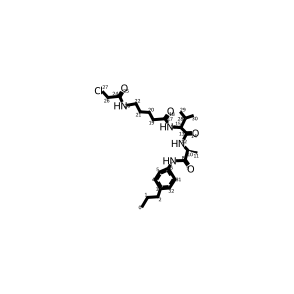 CCCc1ccc(NC(=O)[C@H](C)NC(=O)C(NC(=O)CCCCNC(=O)CCl)C(C)C)cc1